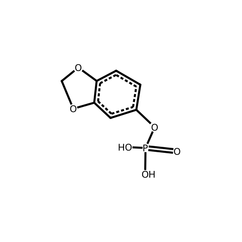 O=P(O)(O)Oc1ccc2c(c1)OCO2